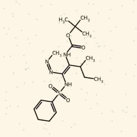 CCC(C)/C(NC(=O)OC(C)(C)C)=C(/N=N\C)NS(=O)(=O)C1=CCCC=C1